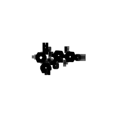 C[C@@H]1C[C@H](N)C[C@H](c2ccncc2NC(=O)c2nc(-c3c(F)cc(O)cc3F)ccc2F)C1